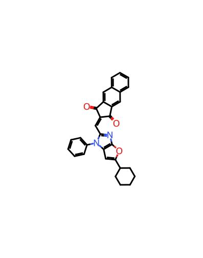 O=C1C(=Cc2nc3oc(C4CCCCC4)cc3n2-c2ccccc2)C(=O)c2cc3ccccc3cc21